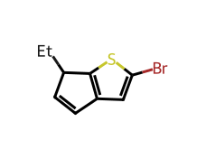 CCC1C=Cc2cc(Br)sc21